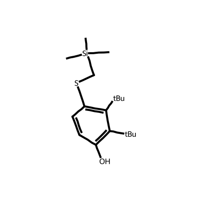 CC(C)(C)c1c(O)ccc(SC[Si](C)(C)C)c1C(C)(C)C